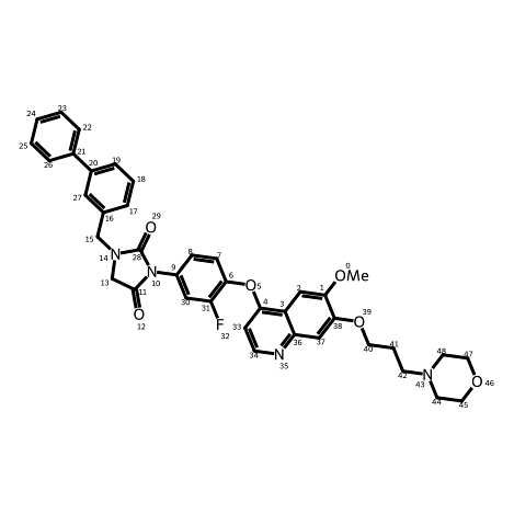 COc1cc2c(Oc3ccc(N4C(=O)CN(Cc5cccc(-c6ccccc6)c5)C4=O)cc3F)ccnc2cc1OCCCN1CCOCC1